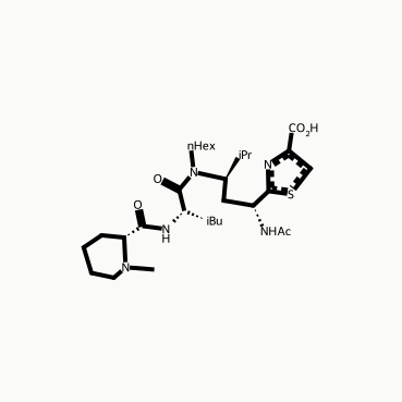 CCCCCCN(C(=O)[C@@H](NC(=O)[C@H]1CCCCN1C)[C@@H](C)CC)[C@H](C[C@@H](NC(C)=O)c1nc(C(=O)O)cs1)C(C)C